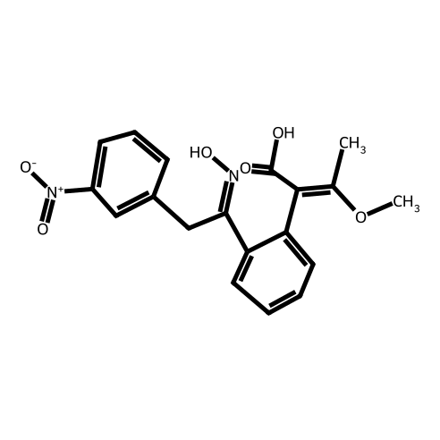 COC(C)=C(C(=O)O)c1ccccc1C(Cc1cccc([N+](=O)[O-])c1)=NO